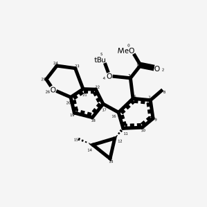 COC(=O)C(OC(C)(C)C)c1c(C)ccc([C@@H]2C[C@@H]2C)c1-c1ccc2c(c1)CCCO2